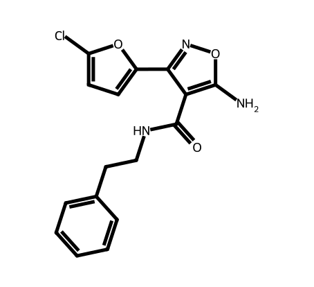 Nc1onc(-c2ccc(Cl)o2)c1C(=O)NCCc1ccccc1